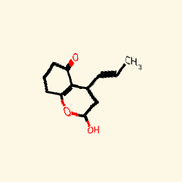 CC=CC1CC(O)OC2=C1C(=O)CCC2